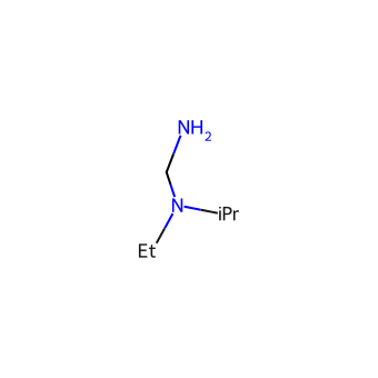 CCN(CN)C(C)C